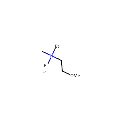 CC[N+](C)(CC)CCOC.[F-]